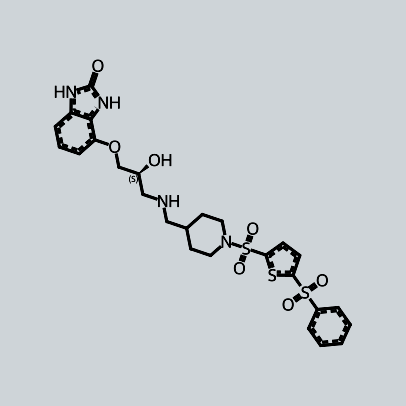 O=c1[nH]c2cccc(OC[C@@H](O)CNCC3CCN(S(=O)(=O)c4ccc(S(=O)(=O)c5ccccc5)s4)CC3)c2[nH]1